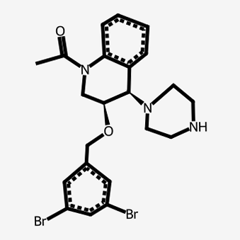 CC(=O)N1C[C@H](OCc2cc(Br)cc(Br)c2)[C@H](N2CCNCC2)c2ccccc21